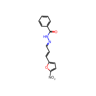 O=C(N/N=C/C=C/c1ccc([N+](=O)[O-])o1)c1ccccc1